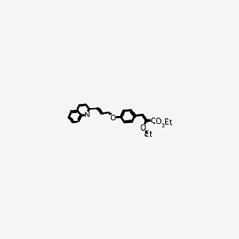 CCOC(=O)C(Cc1ccc(OCC=Cc2ccc3ccccc3n2)cc1)OCC